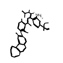 CCC(C)(CC)c1ccc(C(/C=C(\C)c2c(C)ccc(C3=C(C)C=c4c5c(ccc4=C=C3)C=CC=C=C5)c2C)=C(\F)C(C)C(C)C)c(N)c1